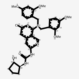 COc1ccc(CN(Cc2ccc(OC)cc2OC)c2nc(Cl)cc3cc(NC(=O)N[C@H]4CCC[C@@H]4O)ncc23)c(OC)c1